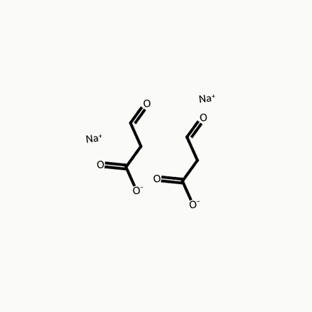 O=CCC(=O)[O-].O=CCC(=O)[O-].[Na+].[Na+]